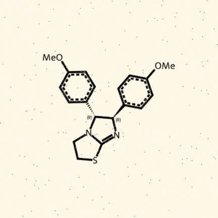 COc1ccc([C@H]2N=C3SCCN3[C@@H]2c2ccc(OC)cc2)cc1